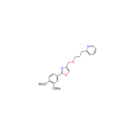 COc1ccc(-c2nc(COCCCc3ccccn3)co2)cc1OC